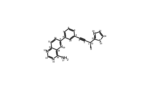 C[C@@H](C#Cc1cccc(-c2ccc3ncnc(N)c3n2)c1)c1nccs1